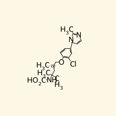 Cc1nccc(-c2ccc(OC[C@@H](C)CC(C)(C)NC(=O)O)c(Cl)c2)n1